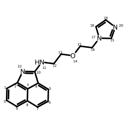 c1cc2c3c(cccc3c1)C(NCCOCCn1ccnc1)=N2